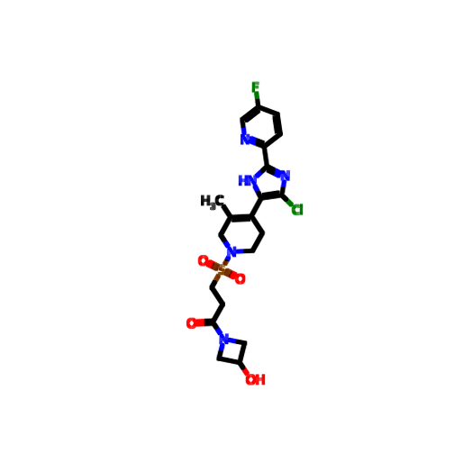 CC1=C(c2[nH]c(-c3ccc(F)cn3)nc2Cl)CCN(S(=O)(=O)CCC(=O)N2CC(O)C2)C1